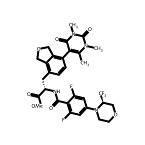 COC(=O)[C@H](Cc1ccc(-c2c(C)n(C)c(=O)n(C)c2=O)c2c1COC2)NC(=O)c1c(F)cc(N2CCOC[C@@H]2C(F)(F)F)cc1F